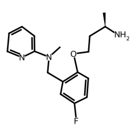 C[C@@H](N)CCOc1ccc(F)cc1CN(C)c1ccccn1